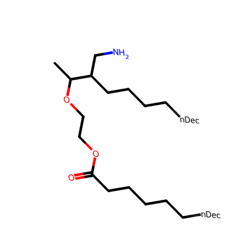 CCCCCCCCCCCCCCCC(=O)OCCOC(C)C(CN)CCCCCCCCCCCCCC